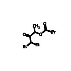 CCC(CC)C(=O)C(C)OC(=O)C(C)C